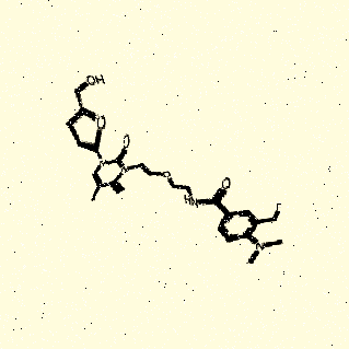 C=C1C(C)=CN([C@H]2CC[C@@H](CO)O2)C(=O)N1CCOCCNC(=O)c1ccc(N(C)C)c(CF)c1